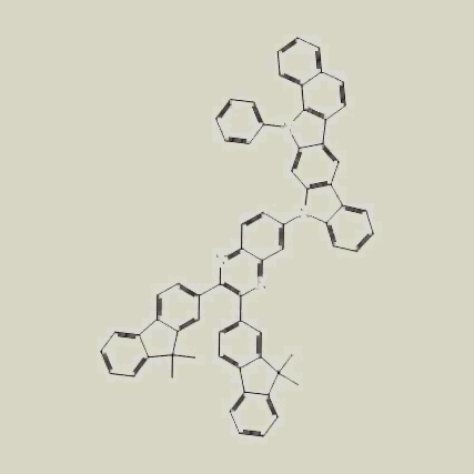 CC1(C)c2ccccc2-c2ccc(-c3nc4ccc(-n5c6ccccc6c6cc7c8ccc9ccccc9c8n(-c8ccccc8)c7cc65)cc4nc3-c3ccc4c(c3)C(C)(C)c3ccccc3-4)cc21